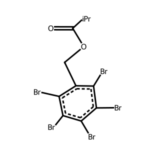 CC(C)C(=O)OCc1c(Br)c(Br)c(Br)c(Br)c1Br